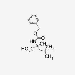 C=C(C)C[C@](C)(NC(=O)OCc1ccccc1)C(=O)O